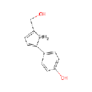 OCC1=CC=C(c2ccc(O)cc2)[SeH2]1